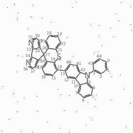 c1ccc(-n2c3ccccc3c3cc(-c4cccc5c4Sc4ccccc4C54c5cccnc5-c5ncccc54)ccc32)cc1